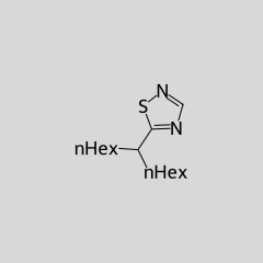 CCCCCCC(CCCCCC)c1ncns1